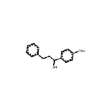 COc1ccc(C(O)CCc2ccccc2)cc1